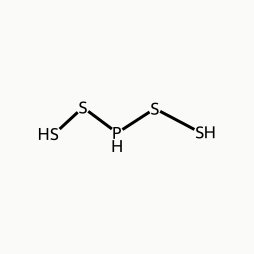 SSPSS